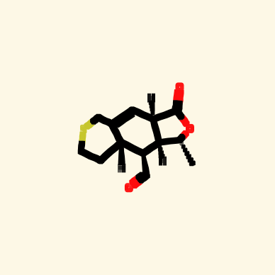 C[C@H]1OC(=O)[C@@H]2C=C3CSCC[C@H]3[C@H](C=O)[C@H]12